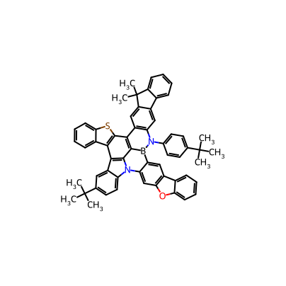 CC(C)(C)c1ccc(N2B3c4cc5c(cc4-n4c6ccc(C(C)(C)C)cc6c6c7c(sc8ccccc87)c(c3c64)-c3cc4c(cc32)-c2ccccc2C4(C)C)oc2ccccc25)cc1